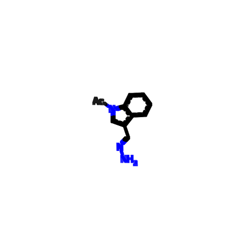 CC(=O)n1cc(C=NN)c2ccccc21